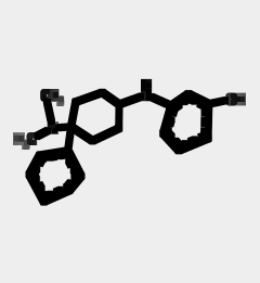 CN(C)C1(c2ccccc2)CCC(Nc2cccc(O)c2)CC1